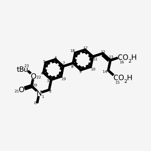 CN(Cc1cccc(-c2ccc(C=C(CC(=O)O)C(=O)O)cc2)c1)C(=O)OC(C)(C)C